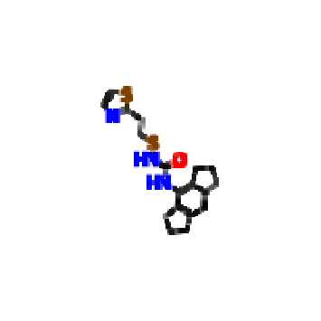 O=C(NS/C=C/c1nccs1)Nc1c2c(cc3c1CCC3)CCC2